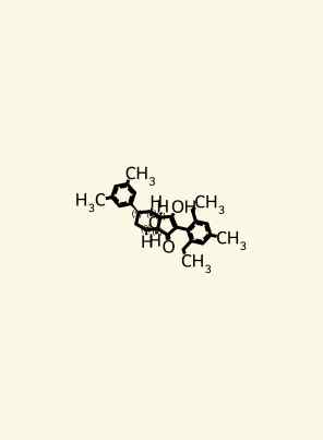 CCc1cc(C)cc(CC)c1C1=C(O)[C@@H]2[C@@H]3O[C@@H](C[C@H]3c3cc(C)cc(C)c3)[C@@H]2C1=O